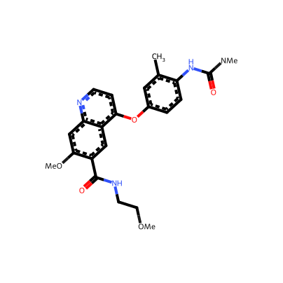 CNC(=O)Nc1ccc(Oc2ccnc3cc(OC)c(C(=O)NCCOC)cc23)cc1C